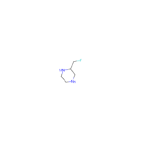 FCC1CNCCN1